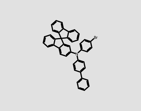 Brc1ccc(N(c2ccc(-c3ccccc3)cc2)c2ccc3c(c2)C2(c4ccccc4-c4ccccc42)c2ccccc2-3)cc1